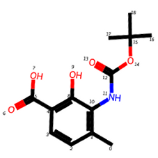 Cc1ccc(C(=O)O)c(O)c1NC(=O)OC(C)(C)C